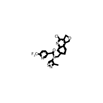 Cc1nscc1N(Cc1ccc2c3c(c(Cl)nc2c1)COC3)C(=O)c1ccc(C(F)(F)F)nc1